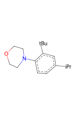 CC(C)c1ccc(N2CCOCC2)c(C(C)(C)C)c1